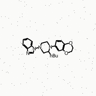 CCCCC1CN(n2cnc3ccccc32)CCN1c1ccc2c(c1)OCCO2